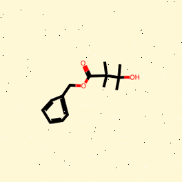 CC(C)(O)C(C)(C)C(=O)OCc1ccccc1